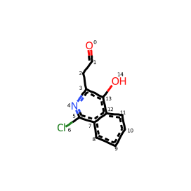 O=CCc1nc(Cl)c2ccccc2c1O